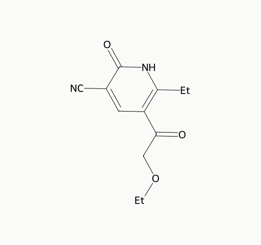 CCOCC(=O)c1cc(C#N)c(=O)[nH]c1CC